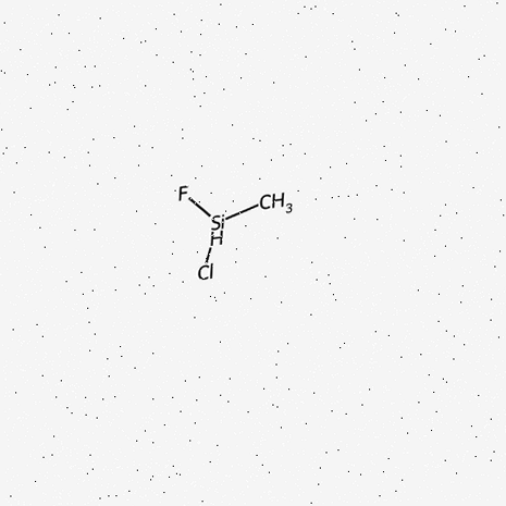 C[SiH](F)Cl